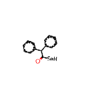 O=C([SeH])C(c1ccccc1)c1ccccc1